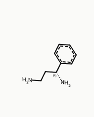 NCC[C@@H](N)c1ccccc1